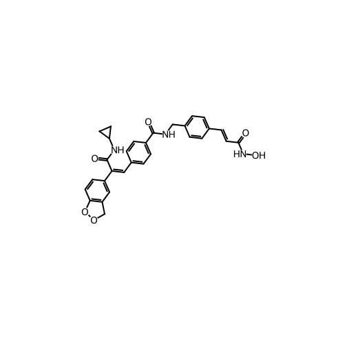 O=C(C=Cc1ccc(CNC(=O)c2ccc(C=C(C(=O)NC3CC3)c3ccc4c(c3)COO4)cc2)cc1)NO